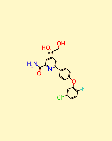 NC(=O)c1cc([C@H](O)CO)cc(-c2ccc(Oc3cc(Cl)ccc3F)cc2)n1